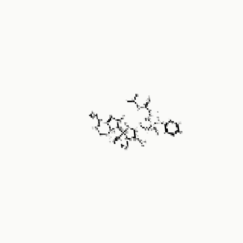 CC(C)OC(=O)[C@H](C)N[P@](=O)(OC[C@H]1O[C@@](C#N)(C2C(C)C=C3C(N)=NC=NN32)[C@H](O)[C@@H]1O)Oc1ccccc1